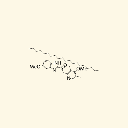 CCCCCCCCCCCCCCCCCCCC.COc1ccc2[nH]c([S+]([O-])Cc3ncc(C)c(OC)c3C)nc2c1